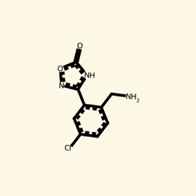 NCc1ccc(Cl)cc1-c1noc(=O)[nH]1